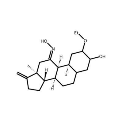 C=C1CC[C@H]2[C@@H]3CCC4CC(O)C(OCC)C[C@]4(C)[C@@H]3C(=NO)C[C@]12C